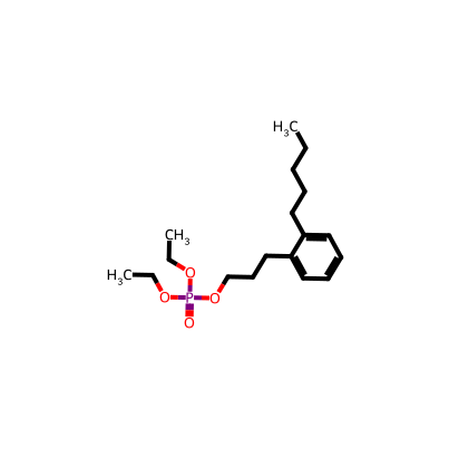 CCCCCc1ccccc1CCCOP(=O)(OCC)OCC